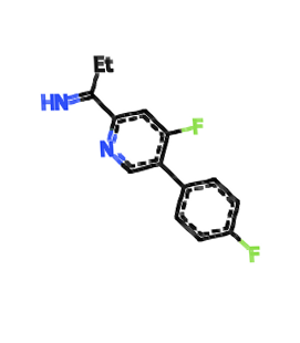 CCC(=N)c1cc(F)c(-c2ccc(F)cc2)cn1